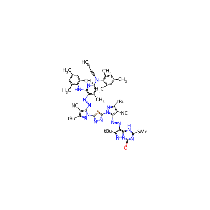 [C-]#[N+]c1c(C(C)(C)C)nn(-c2nnc(-n3nc(C(C)(C)C)c(C#N)c3N=Nc3c(C)cc(N(C#CC#C)c4c(C)cc(C)cc4C)nc3Nc3c(C)cc(C)cc3C)s2)c1N=Nc1c(C(C)(C)C)nn2c(=O)nc(SC)[nH]c12